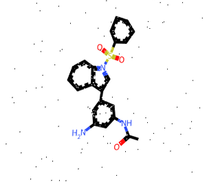 CC(=O)Nc1cc(N)cc(-c2cn(S(=O)(=O)c3ccccc3)c3ccccc23)c1